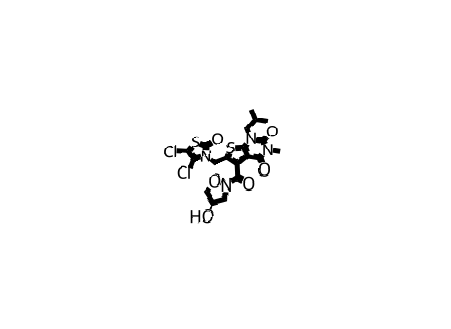 CC(C)Cn1c(=O)n(C)c(=O)c2c(C(=O)N3C[C@H](O)CO3)c(Cn3c(Cl)c(Cl)sc3=O)sc21